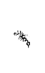 C[C@@H](CO)NC(=O)c1c(O)c2ncc(Cc3ccc(F)cc3)cc2n(C)c1=O